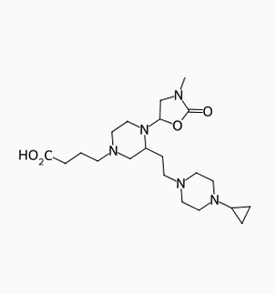 CN1CC(N2CCN(CCCC(=O)O)CC2CCN2CCN(C3CC3)CC2)OC1=O